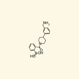 NCc1cccc(C2CCN(C(=O)c3ccccc3B(O)O)CC2)c1